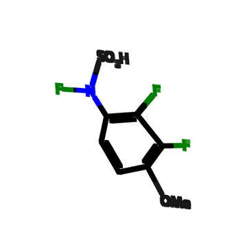 COc1ccc(N(F)S(=O)(=O)O)c(F)c1F